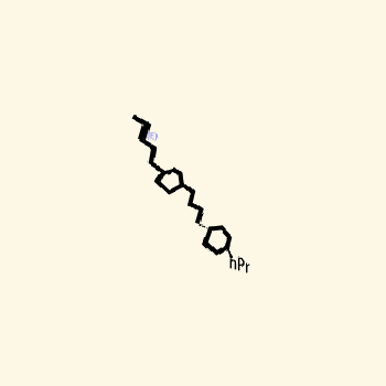 C/C=C/CCC1CCC(CCCC[C@H]2CC[C@H](CCC)CC2)CC1